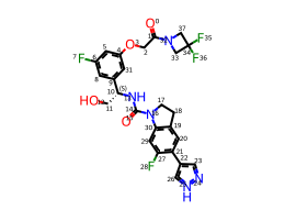 O=C(COc1cc(F)cc([C@@H](CO)NC(=O)N2CCc3cc(-c4cn[nH]c4)c(F)cc32)c1)N1CC(F)(F)C1